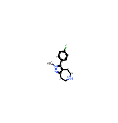 CCCCn1nc2c(c1-c1ccc(Cl)cc1)CCNCC2